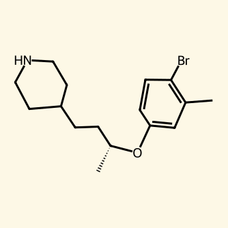 Cc1cc(O[C@H](C)CCC2CCNCC2)ccc1Br